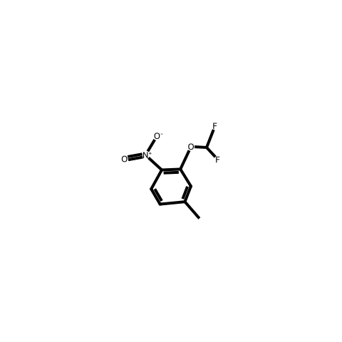 Cc1ccc([N+](=O)[O-])c(OC(F)F)c1